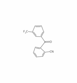 N#Cc1ccccc1C(=O)c1cccc(C(F)(F)F)c1